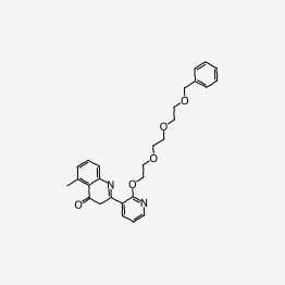 Cc1cccc2c1C(=O)CC(c1cccnc1OCCOCCOCCOCc1ccccc1)=N2